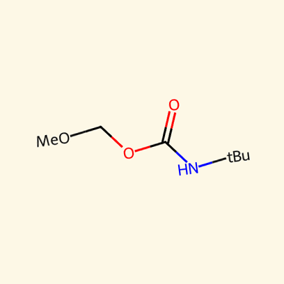 COCOC(=O)NC(C)(C)C